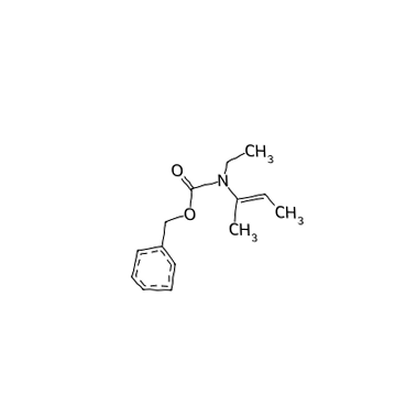 C/C=C(\C)N(CC)C(=O)OCc1ccccc1